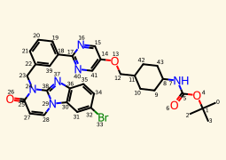 CC(C)(C)OC(=O)NC1CCC(COc2cnc(-c3cccc(Cn4c(=O)ccn5c6cc(Br)ccc6nc45)c3)nc2)CC1